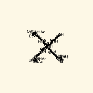 CC[C@H]1OC(OCCCCCCNC(=O)CCOCC(COCCC(=O)NCCCCCCOC2O[C@H](CC)[C@H](C)[C@H](OC(C)=O)[C@H]2NC(C)=O)(COCCC(=O)NCCCCCCOC2O[C@H](CC)[C@H](C)[C@H](OC(C)=O)[C@H]2NC(C)=O)NC(=O)CCCC(=O)NCCCCCCO)[C@H](NC(C)=O)[C@@H](OC(C)=O)[C@H]1C